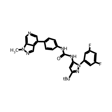 Cn1ncc2c(-c3ccc(NC(=O)Nc4cc(C(C)(C)C)nn4-c4cc(F)cc(F)c4)cc3)cncc21